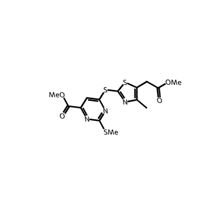 COC(=O)Cc1sc(Sc2cc(C(=O)OC)nc(SC)n2)nc1C